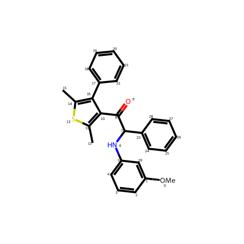 COc1cccc(NC(C(=O)c2c(C)sc(C)c2-c2ccccc2)c2ccccc2)c1